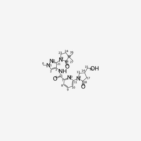 Cn1cc(NC(=O)c2cccc(N3CC(CO)CC3=O)n2)c(N2CCC(C)(C)C2=O)n1